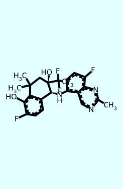 Cc1ncc2c(N[C@H]3c4ccc(F)c(O)c4C(C)(C)C[C@]3(O)C(F)(F)C(F)(F)F)ccc(F)c2n1